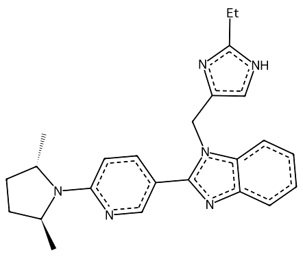 CCc1nc(Cn2c(-c3ccc(N4[C@@H](C)CC[C@@H]4C)nc3)nc3ccccc32)c[nH]1